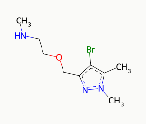 CNCCOCc1nn(C)c(C)c1Br